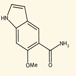 COc1cc2[nH]ccc2cc1C(N)=O